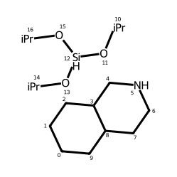 C1CCC2CNCCC2C1.CC(C)O[SiH](OC(C)C)OC(C)C